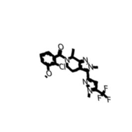 COc1cccc(C(=O)N2CCc3c(nn(C)c3-c3cc(C(F)(F)F)n(C)n3)C2C)c1Cl